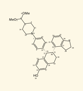 COC(OC)C1CCN(c2ccc([C@H]3c4ccc(O)cc4CC[C@H]3c3cccc4c3CCC4)cc2)CC1